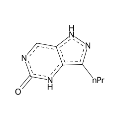 CCCc1n[nH]c2cnc(=O)[nH]c12